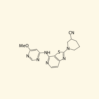 COc1cc(Nc2nccc3nc(N4CCCC(C#N)C4)sc23)ncn1